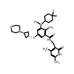 CCN(c1cc(O[C@H]2C[C@H](N3CCOCC3)C2)cc(C(=O)NCc2c(C)cc(C)[nH]c2=O)c1C)C1CCC(F)(F)CC1